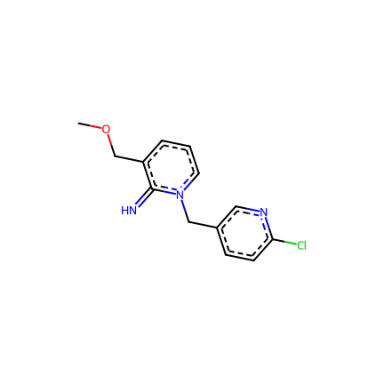 COCc1cccn(Cc2ccc(Cl)nc2)c1=N